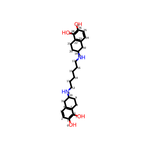 Oc1ccc2c(c1O)CCC(NCCCCCCNC1CCc3c(ccc(O)c3O)C1)C2